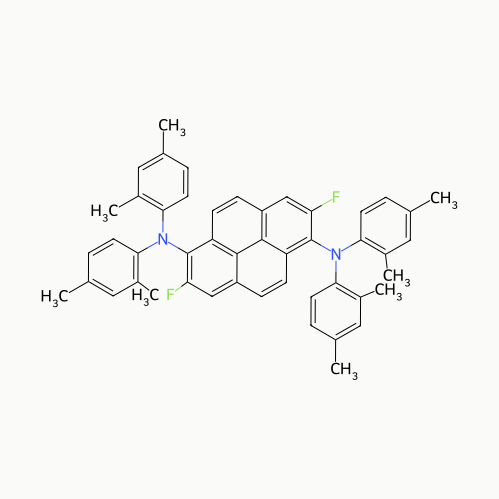 Cc1ccc(N(c2ccc(C)cc2C)c2c(F)cc3ccc4c(N(c5ccc(C)cc5C)c5ccc(C)cc5C)c(F)cc5ccc2c3c54)c(C)c1